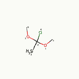 COC([SiH3])(Cl)OC